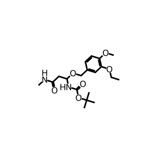 CCOc1cc(COC(CC(=O)NC)NC(=O)OC(C)(C)C)ccc1OC